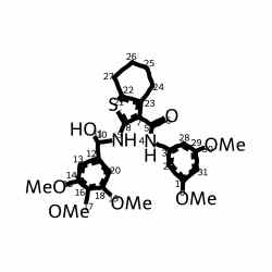 COc1cc(NC(=O)c2c(NC(O)c3cc(OC)c(OC)c(OC)c3)sc3c2CCCC3)cc(OC)c1